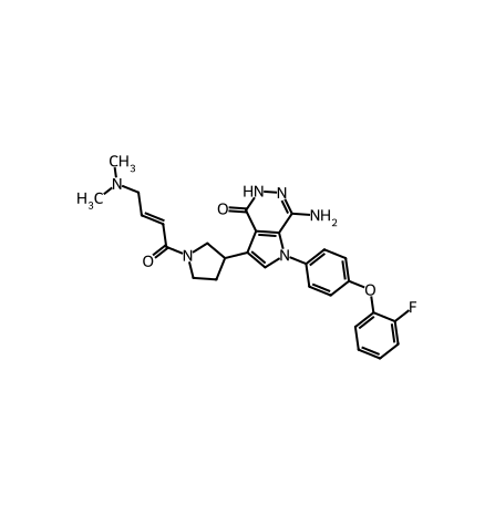 CN(C)C/C=C/C(=O)N1CCC(c2cn(-c3ccc(Oc4ccccc4F)cc3)c3c(N)n[nH]c(=O)c23)C1